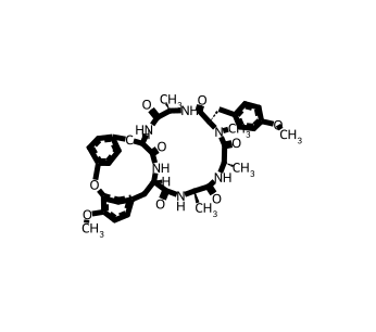 COc1ccc(C[C@H]2C(=O)N[C@@H](C)C(=O)N[C@H]3Cc4ccc(cc4)Oc4cc(ccc4OC)C[C@H](NC3=O)C(=O)N[C@H](C)C(=O)N[C@@H](C)C(=O)N2C)cc1